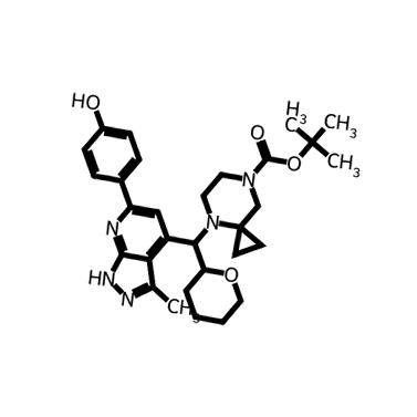 Cc1n[nH]c2nc(-c3ccc(O)cc3)cc(C(C3CCCCO3)N3CCN(C(=O)OC(C)(C)C)CC34CC4)c12